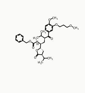 COCCCOc1cc(C(=O)[C@@H](C[C@H](NC(=O)OCc2ccccc2)[C@@H]2C[C@@H](C(C)C)C(=O)O2)C(C)C)ccc1OC